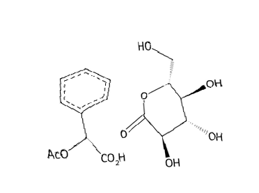 CC(=O)OC(C(=O)O)c1ccccc1.O=C1O[C@H](CO)[C@@H](O)[C@H](O)[C@H]1O